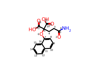 NC(=O)CCC(Oc1cccc2ccccc12)(C(=O)O)C(=O)O